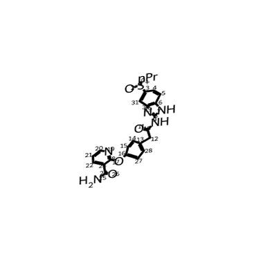 CCC[S+]([O-])c1ccc2[nH]c(NC(=O)Cc3ccc(Oc4ncccc4C(N)=O)cc3)nc2c1